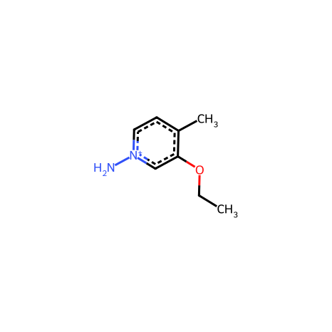 CCOc1c[n+](N)ccc1C